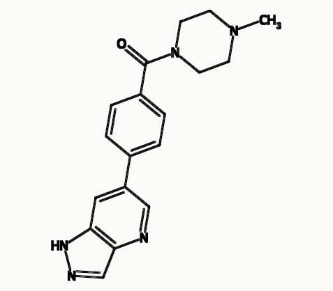 CN1CCN(C(=O)c2ccc(-c3cnc4cn[nH]c4c3)cc2)CC1